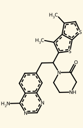 Cc1csc2sc(C(Cc3ccc4c(N)ncnc4c3)N3CCNCC3=O)c(C)c12